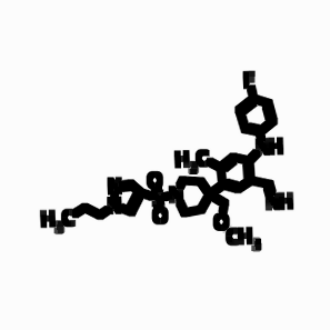 CCCn1cc(S(=O)(=O)N2CCC(COC)(c3cc(C=N)c(Nc4ccc(F)cc4)cc3C)CC2)cn1